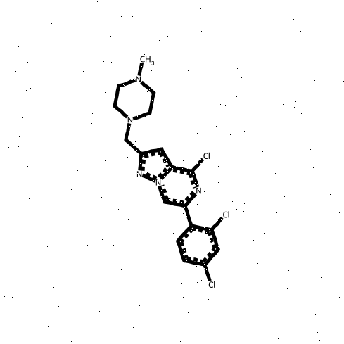 CN1CCN(Cc2cc3c(Cl)nc(-c4ccc(Cl)cc4Cl)cn3n2)CC1